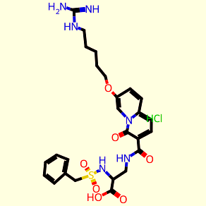 Cl.N=C(N)NCCCCCOc1ccc2ccc(C(=O)NCC(NS(=O)(=O)Cc3ccccc3)C(=O)O)c(=O)n2c1